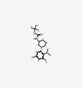 CN(C[C@H]1CC[C@H](NC(=O)OC(C)(C)C)CC1)c1ccc(I)cc1F